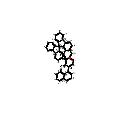 c1ccc2c(c1)-c1ccc(-c3cccc4c3Sc3cccc5cccc-4c35)cc1C21c2ccccc2-c2ccc3ccccc3c21